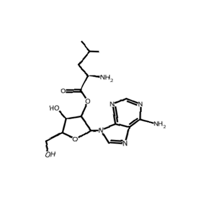 CC(C)C[C@@H](N)C(=O)OC1C(O)C(CO)OC1n1cnc2c(N)ncnc21